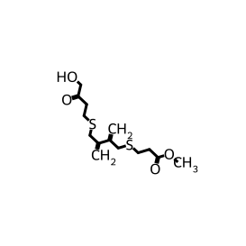 C=C(CSCCC(=O)CO)C(=C)CSCCC(=O)OC